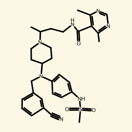 Cc1ncnc(C)c1C(=O)NCCC(C)N1CCC(N(Cc2cccc(C#N)c2)c2ccc(NS(C)(=O)=O)cc2)CC1